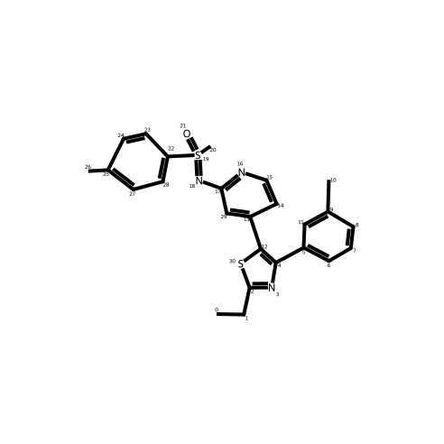 CCc1nc(-c2cccc(C)c2)c(-c2ccnc(N=S(C)(=O)c3ccc(C)cc3)c2)s1